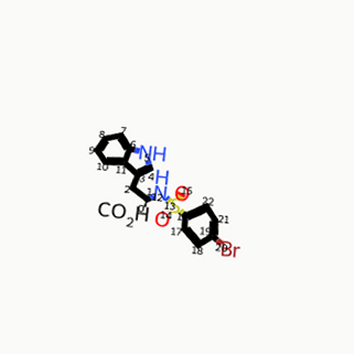 O=C(O)[C@H](Cc1c[nH]c2ccccc12)NS(=O)(=O)c1ccc(Br)cc1